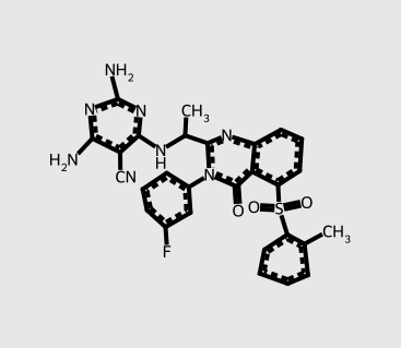 Cc1ccccc1S(=O)(=O)c1cccc2nc(C(C)Nc3nc(N)nc(N)c3C#N)n(-c3cccc(F)c3)c(=O)c12